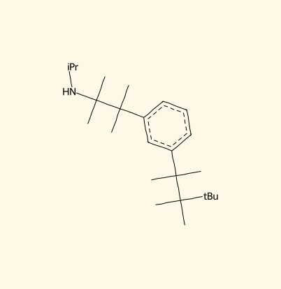 CC(C)NC(C)(C)C(C)(C)c1cccc(C(C)(C)C(C)(C)C(C)(C)C)c1